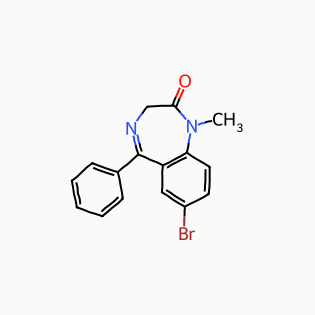 CN1C(=O)CN=C(c2ccccc2)c2cc(Br)ccc21